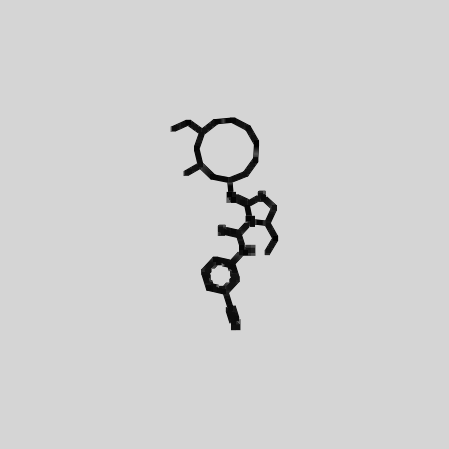 CCC1CCCCCCC(N=C2SCC(CC)N2C(=S)Nc2cccc(C#N)c2)CC(C)C1